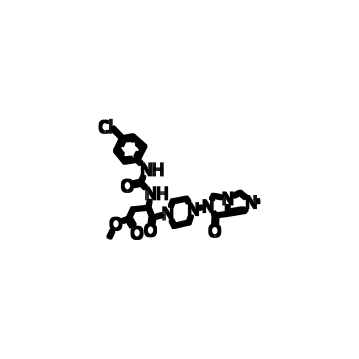 COC(=O)CC(NC(=O)Nc1ccc(Cl)cc1)C(=O)N1CCN(N2CN3CN(C)C=C3C2=O)CC1